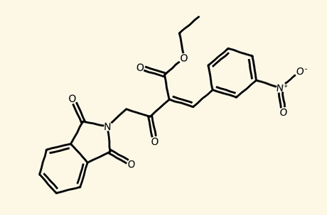 CCOC(=O)C(=Cc1cccc([N+](=O)[O-])c1)C(=O)CN1C(=O)c2ccccc2C1=O